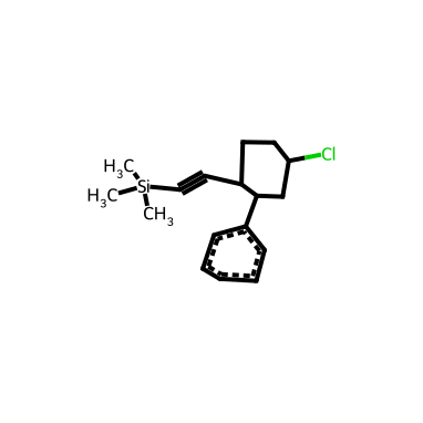 C[Si](C)(C)C#CC1CCC(Cl)CC1c1ccccc1